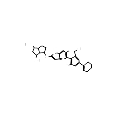 CCc1cc(C2=CCCCC2)cc(F)c1-c1nc2cc(OC3CCC4C(C)CC(C)C34)[nH]c2cc1F